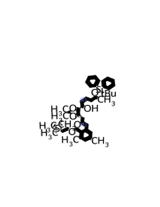 Cc1cc(C)c(C(=O)OCC[Si](C)(C)C)c(/C=C/C[C@@H]2OC(C)(C)O[C@@H]2C(O)/C=C\CC(C)O[Si](c2ccccc2)(c2ccccc2)C(C)(C)C)c1